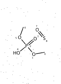 COP(=O)(O)OC.O=S